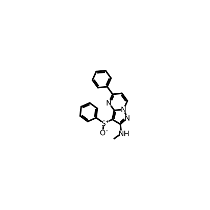 CNc1nn2ccc(-c3ccccc3)nc2c1[S+]([O-])c1ccccc1